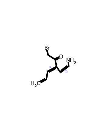 C=C/C=C(\C=C/N)C(=O)CBr